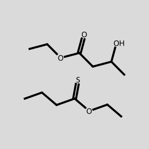 CCCC(=S)OCC.CCOC(=O)CC(C)O